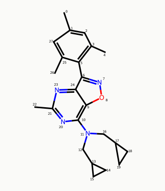 Cc1cc(C)c(-c2noc3c(N(CC4CC4)CC4CC4)nc(C)nc23)c(C)c1